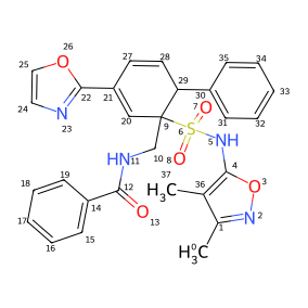 Cc1noc(NS(=O)(=O)C2(CNC(=O)c3ccccc3)C=C(c3ncco3)C=CC2c2ccccc2)c1C